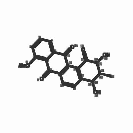 COc1cccc2c1C(=O)c1ccc3c(c1C2=O)C(=O)[C@@H](O)[C@@H](C)[C@H]3O